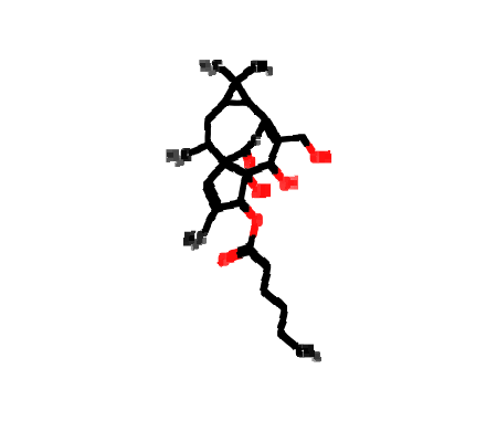 CCCCCC(=O)OC1C(C)=CC23C(=O)CC(=C(CO)C(O)C12O)C1C(CC3C)C1(C)C